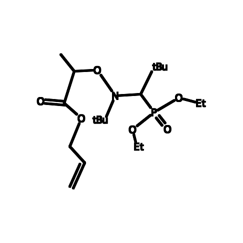 C=CCOC(=O)C(C)ON(C(C(C)(C)C)P(=O)(OCC)OCC)C(C)(C)C